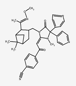 CON=C(C)C1C(CN2C(=O)C(c3ccncc3)(c3ccncc3)N(C)C2=CC(=O)c2ccc(C#N)cc2)CC2CC1C2(C)C